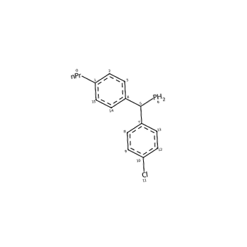 CCCc1ccc(C(P)c2ccc(Cl)cc2)cc1